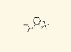 C=NC(=C)Oc1cccc2c1OC(C)(C)C2